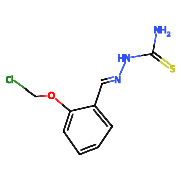 NC(=S)NN=Cc1ccccc1OCCl